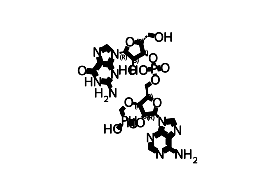 Nc1nc2c(ncn2[C@@H]2O[C@H](CO)[C@H](OP(=O)(O)OC[C@H]3O[C@@H](n4cnc5c(N)ncnc54)[C@@H](O)[C@H]3OC[PH](=O)O)[C@@H]2O)c(=O)[nH]1